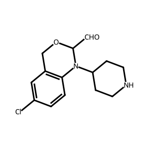 O=CC1OCc2cc(Cl)ccc2N1C1CCNCC1